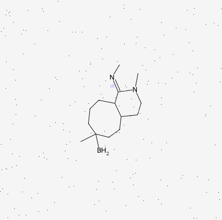 BC1(C)CCCC2/C(=N/C)N(C)CCC2CC1